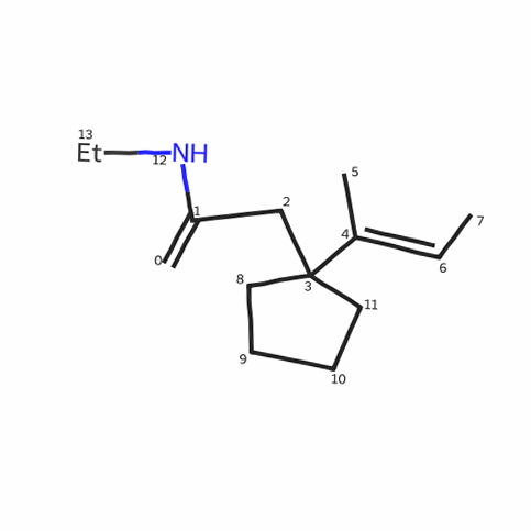 C=C(CC1(/C(C)=C/C)CCCC1)NCC